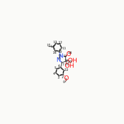 COc1cccc(C2=NN(c3cccc(C)c3)C(=O)C2(O)O)c1